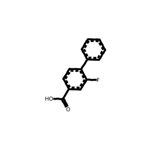 O=C(O)c1ccc(-c2ccccc2)c(F)c1